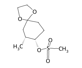 C[C@@H]1CC2(CC[C@@H]1OS(C)(=O)=O)OCCO2